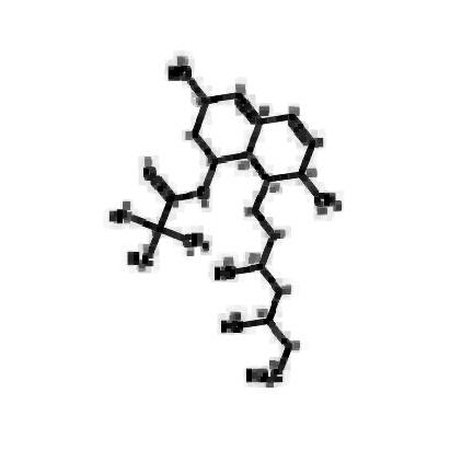 CCCC(C)(C)C(=O)OC1CC(O)C=C2C=CC(C)C(CCC(O)CC(O)CC(=O)O)C21